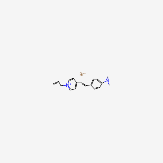 C=CC[n+]1ccc(C=Cc2ccc(N(C)C)cc2)cc1.[Br-]